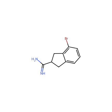 N=C(N)C1Cc2cccc(Br)c2C1